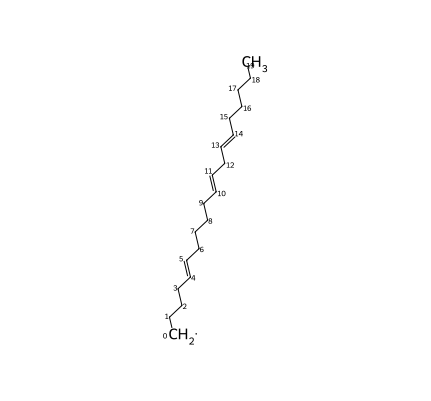 [CH2]CCCC=CCCCCC=CCC=CCCCCC